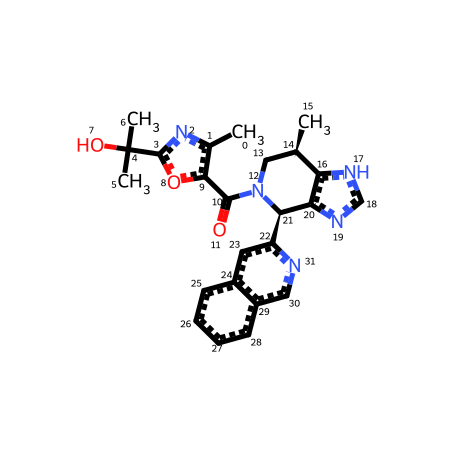 Cc1nc(C(C)(C)O)oc1C(=O)N1C[C@@H](C)c2[nH]cnc2[C@H]1c1cc2ccccc2cn1